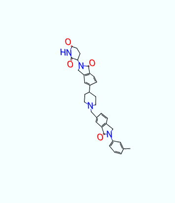 Cc1cccc(N2Cc3ccc(CN4CCC(c5ccc6c(c5)CN(C5CCC(=O)NC5=O)C6=O)CC4)cc3C2=O)c1